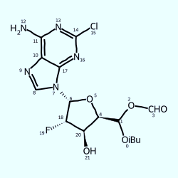 CC(C)COC(OC=O)[C@@H]1O[C@@H](n2cnc3c(N)nc(Cl)nc32)[C@@H](F)[C@@H]1O